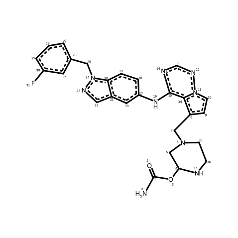 NC(=O)OC1CN(Cc2ccn3ncnc(Nc4ccc5c(cnn5Cc5cccc(F)c5)c4)c23)CCN1